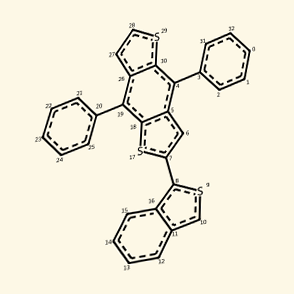 c1ccc(-c2c3cc(-c4scc5ccccc45)sc3c(-c3ccccc3)c3ccsc23)cc1